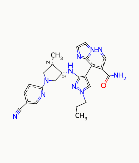 CCCn1cc(-c2c(C(N)=O)cnn3ccnc23)c(N[C@@H]2CN(c3ccc(C#N)cn3)C[C@@H]2C)n1